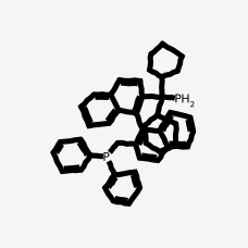 PC(c1ccc2ccccc2c1-c1c(CP(c2ccccc2)c2ccccc2)ccc2ccccc12)(C1CCCCC1)C1CCCCC1